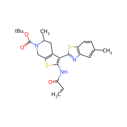 C=CC(=O)Nc1sc2c(c1-c1nc3cc(C)ccc3s1)CC(C)N(C(=O)OC(C)(C)C)C2